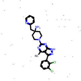 N#Cc1nc(N2CCC(N)(Cc3ccccn3)CC2)nc2[nH]nc(-c3cccc(Cl)c3Cl)c12